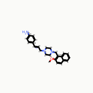 COc1ccc2ccccc2c1CN1CCN(C/C=C/c2ccc(N)cc2)CC1